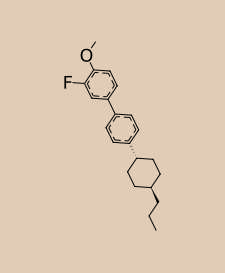 CCC[C@H]1CC[C@H](c2ccc(-c3ccc(OC)c(F)c3)cc2)CC1